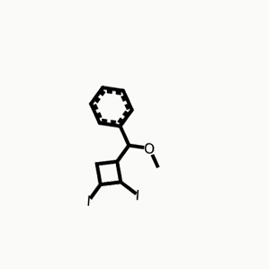 COC(c1ccccc1)C1CC(I)C1I